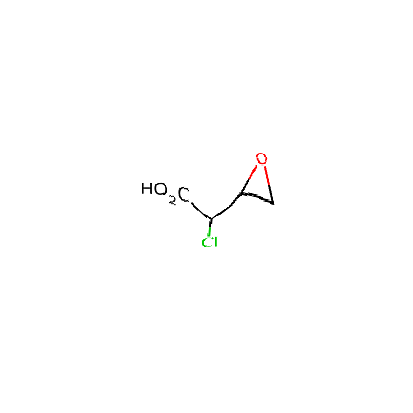 O=C(O)C(Cl)C1CO1